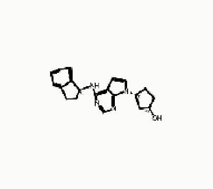 O[C@@H]1CC[C@@H](n2ccc3c(N[C@H]4CCc5ccccc54)ncnc32)C1